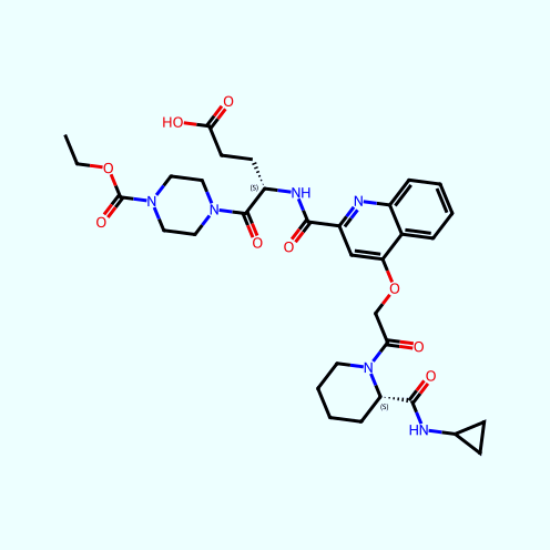 CCOC(=O)N1CCN(C(=O)[C@H](CCC(=O)O)NC(=O)c2cc(OCC(=O)N3CCCC[C@H]3C(=O)NC3CC3)c3ccccc3n2)CC1